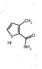 Cc1ccsc1C(N)=O.I